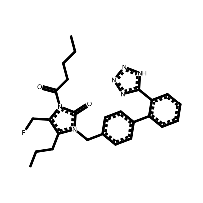 CCCCC(=O)n1c(CF)c(CCC)n(Cc2ccc(-c3ccccc3-c3nnn[nH]3)cc2)c1=O